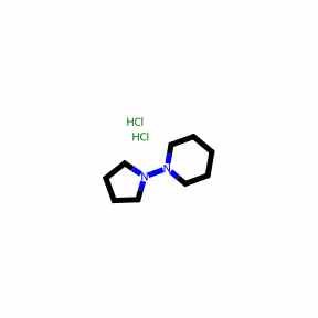 C1CCN(N2CCCC2)CC1.Cl.Cl